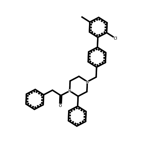 Cc1ccc(Cl)c(-c2ccc(CN3CCN(C(=O)Cc4ccccc4)C(c4ccccc4)C3)cc2)c1